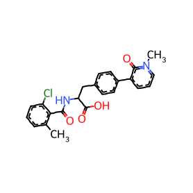 Cc1cccc(Cl)c1C(=O)NC(Cc1ccc(-c2cccn(C)c2=O)cc1)C(=O)O